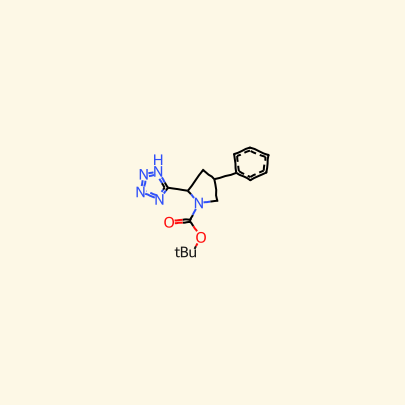 CC(C)(C)OC(=O)N1CC(c2ccccc2)CC1c1nnn[nH]1